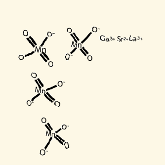 [Ga+3].[La+3].[O]=[Mn](=[O])([O-])[O-].[O]=[Mn](=[O])([O-])[O-].[O]=[Mn](=[O])([O-])[O-].[O]=[Mn](=[O])([O-])[O-].[Sr+2]